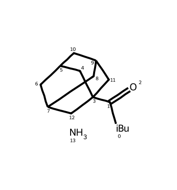 CCC(C)C(=O)C12CC3CC(CC(C3)C1)C2.N